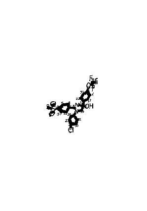 CS(=O)(=O)c1ccc(C2=NC(O)(c3ccc(OC(F)(F)F)cc3)CN2c2ccc(Cl)cc2)cc1